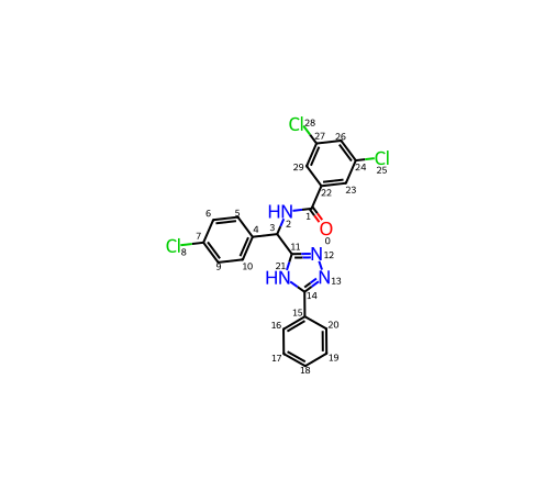 O=C(NC(c1ccc(Cl)cc1)c1nnc(-c2ccccc2)[nH]1)c1cc(Cl)cc(Cl)c1